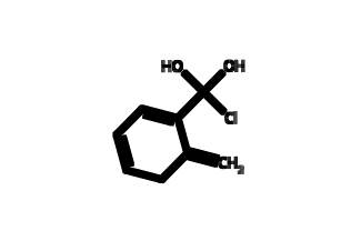 C=C1CC=CC=C1C(O)(O)Cl